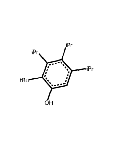 CC(C)c1cc(O)c(C(C)(C)C)c(C(C)C)c1C(C)C